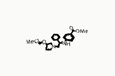 COCOC1CCN(CC(Nc2ccc(C(=O)OC)cc2)c2ccccc2)C1